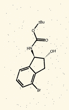 CC(C)(C)OC(=O)N[C@@H]1c2cccc(Br)c2C[C@H]1O